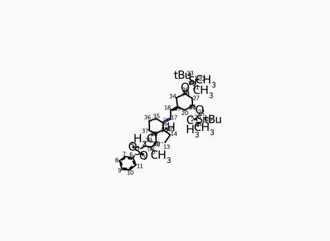 C[C@H](CS(=O)(=O)c1ccccc1)[C@H]1CC[C@H]2/C(=C/C=C3C[C@@H](O[Si](C)(C)C(C)(C)C)C[C@H](O[Si](C)(C)C(C)(C)C)C3)CCC[C@]12C